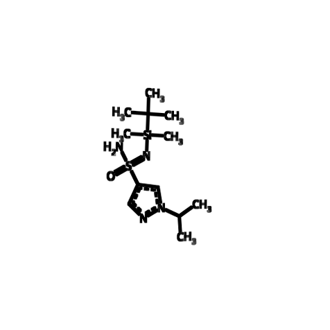 CC(C)n1cc(S(N)(=O)=N[Si](C)(C)C(C)(C)C)cn1